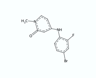 Cn1ccc(Nc2ccc(Br)cc2F)cc1=O